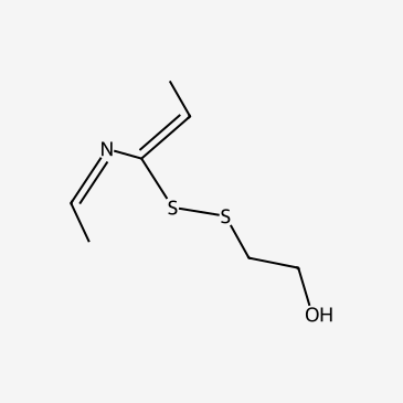 C/C=N\C(=C/C)SSCCO